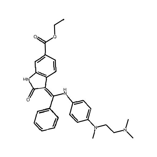 CCOC(=O)c1ccc2c(c1)NC(=O)C2=C(Nc1ccc(N(C)CCN(C)C)cc1)c1ccccc1